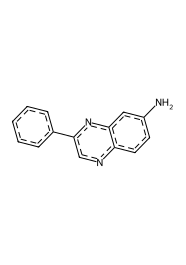 Nc1ccc2ncc(-c3ccccc3)nc2c1